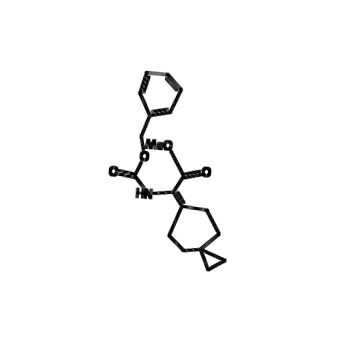 COC(=O)C(NC(=O)OCc1ccccc1)=C1CCC2(CC1)CC2